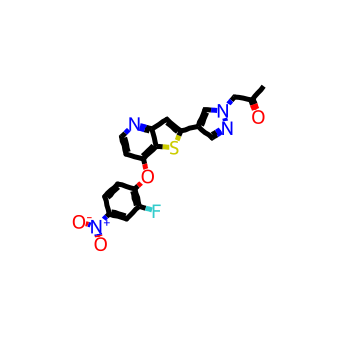 CC(=O)Cn1cc(-c2cc3nccc(Oc4ccc([N+](=O)[O-])cc4F)c3s2)cn1